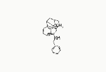 CC1C2CC3CC1CC(C2)C3(CC(=O)NCc1ccccc1)c1ccccc1